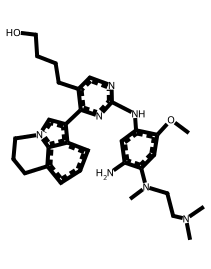 COc1cc(N(C)CCN(C)C)c(N)cc1Nc1ncc(CCCCO)c(-c2cn3c4c(cccc24)CCC3)n1